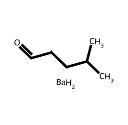 CC(C)C[CH]C=O.[BaH2]